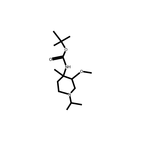 COC1CN(C(C)C)CCC1(C)NC(=O)OC(C)(C)C